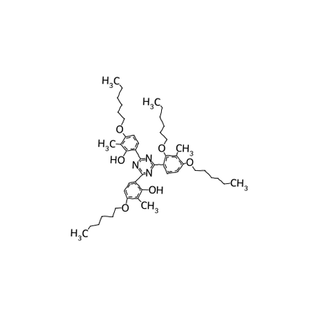 CCCCCCOc1ccc(-c2nc(-c3ccc(OCCCCCC)c(C)c3O)nc(-c3ccc(OCCCCCC)c(C)c3OCCCCCC)n2)c(O)c1C